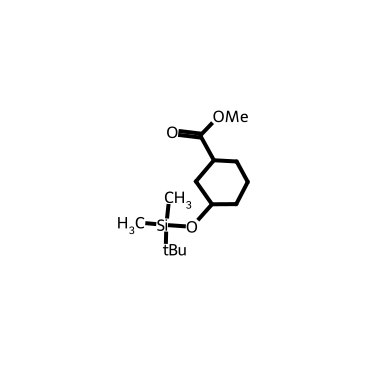 COC(=O)C1CCCC(O[Si](C)(C)C(C)(C)C)C1